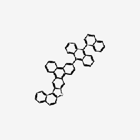 c1ccc2c(-c3c4ccccc4c(-c4ccc5c(c4)c4ccccc4c4cc6c(cc54)oc4ccc5ccccc5c46)c4ccccc34)cccc2c1